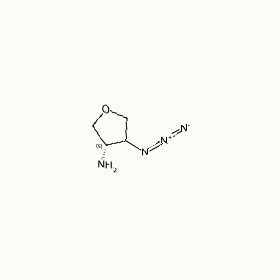 [N-]=[N+]=NC1COC[C@H]1N